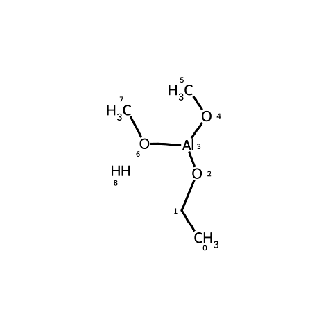 CC[O][Al]([O]C)[O]C.[HH]